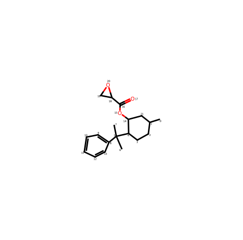 CC1CCC(C(C)(C)c2ccccc2)C(OC(=O)C2CO2)C1